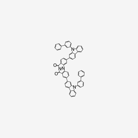 O=c1c2cc(-c3ccc4c5ccccc5n(-c5cccc(-c6ccccc6)c5)c4c3)ccc2n2c3cc(-c4ccc5c6ccccc6n(-c6cccc(-c7ccccc7)c6)c5c4)ccc3c(=O)n12